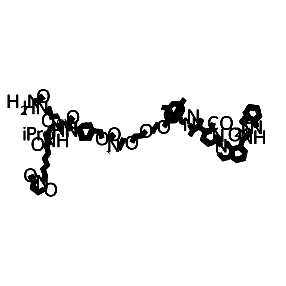 Cc1c(-c2ccc(N3CCc4cccc(C(=O)Nc5nc6ccccc6s5)c4C3)nc2C(=O)O)cnn1CC12CC3(C)CC(C)(C1)CC(OCCOCCOCCN(C)C(=O)OCc1ccc(NC(=O)[C@H](CCCNC(N)=O)NC(=O)[C@@H](NC(=O)CCCCCN4C(=O)C=CC4=O)C(C)C)cc1)(C3)C2